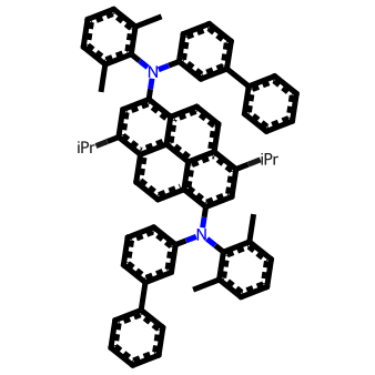 Cc1cccc(C)c1N(c1cccc(-c2ccccc2)c1)c1cc(C(C)C)c2ccc3c(N(c4cccc(-c5ccccc5)c4)c4c(C)cccc4C)cc(C(C)C)c4ccc1c2c43